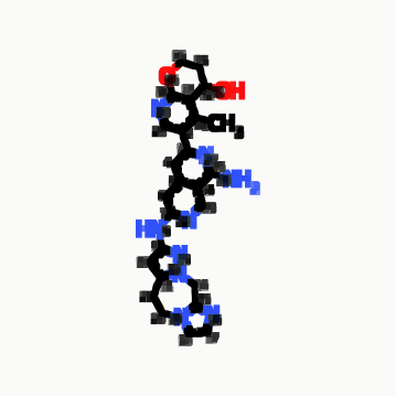 Cc1c(-c2cc3cc(Nc4cc5n(n4)Cc4nccn4CC5)ncc3c(N)n2)cnc2c1[C@H](O)CCO2